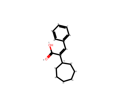 O=C(O)C(=Cc1ccccc1)C1CCCCCC1